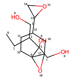 CCC(CO)C(O)(CO)C12CCC(C3CO3)CC1O2